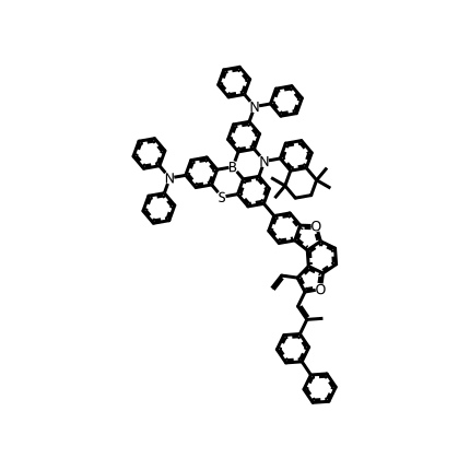 C=Cc1c(/C=C(\C)c2cccc(-c3ccccc3)c2)oc2ccc3oc4cc(-c5cc6c7c(c5)N(c5cccc8c5C(C)(C)CCC8(C)C)c5cc(N(c8ccccc8)c8ccccc8)ccc5B7c5ccc(N(c7ccccc7)c7ccccc7)cc5S6)ccc4c3c12